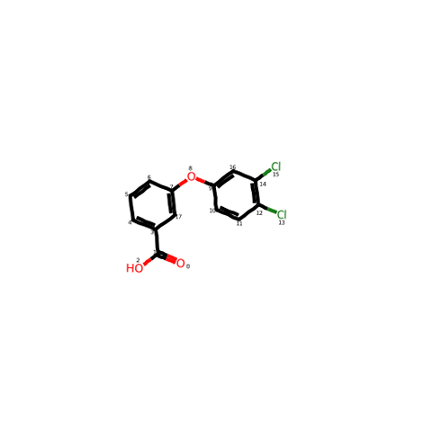 O=C(O)c1cccc(Oc2ccc(Cl)c(Cl)c2)c1